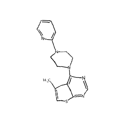 Cc1csc2ncnc(N3CCN(c4ccccn4)CC3)c12